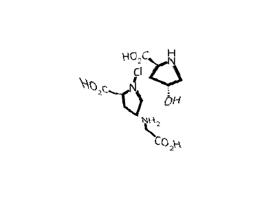 NCC(=O)O.O=C(O)[C@@H]1CCCN1Cl.O=C(O)[C@@H]1C[C@@H](O)CN1